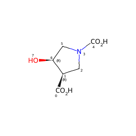 O=C(O)[C@@H]1CN(C(=O)O)C[C@@H]1O